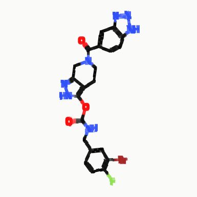 O=C(NCc1ccc(F)c(Br)c1)Oc1[nH]nc2c1CCN(C(=O)c1ccc3[nH]nnc3c1)C2